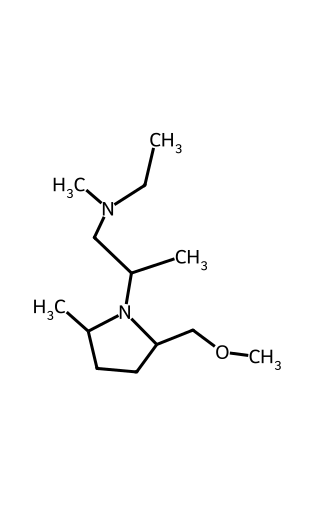 CCN(C)CC(C)N1C(C)CCC1COC